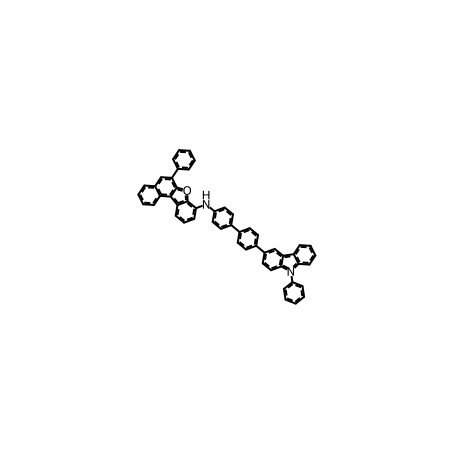 c1ccc(-c2cc3ccccc3c3c2oc2c(Nc4ccc(-c5ccc(-c6ccc7c(c6)c6ccccc6n7-c6ccccc6)cc5)cc4)cccc23)cc1